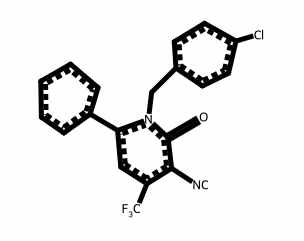 [C-]#[N+]c1c(C(F)(F)F)cc(-c2ccccc2)n(Cc2ccc(Cl)cc2)c1=O